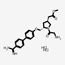 COC(=O)C[C@@H]1C[C@@H](COc2ccc(-c3ccc(C(=N)N)cc3)cc2)N(C(=O)CN)C1.Cl.Cl